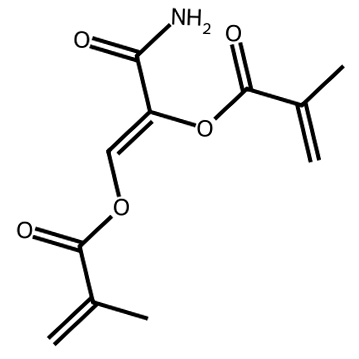 C=C(C)C(=O)OC=C(OC(=O)C(=C)C)C(N)=O